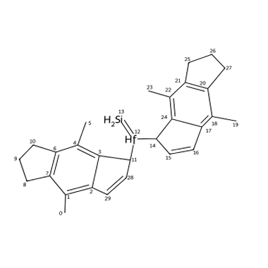 Cc1c2c(c(C)c3c1CCC3)[CH]([Hf](=[SiH2])[CH]1C=Cc3c(C)c4c(c(C)c31)CCC4)C=C2